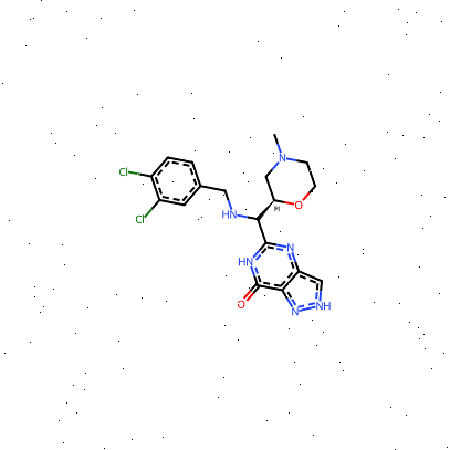 CN1CCO[C@@H](C(NCc2ccc(Cl)c(Cl)c2)c2nc3c[nH]nc3c(=O)[nH]2)C1